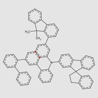 CC1(C)c2ccccc2-c2cccc(-c3cccc(N(c4ccc5c(c4)C4(CCc6ccccc64)c4ccccc4-5)c4ccccc4-c4cccc(-c5ccccc5-c5ccccc5)c4)c3)c21